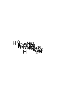 CNc1ccc(Nc2cnc3nnn(Cc4ccc5ncccc5c4)c3n2)cn1